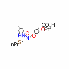 CCCSCCCN(CCOc1ccc(CC(OCC)C(=O)O)cc1)C(=O)Nc1c(C)cc(C)cc1C